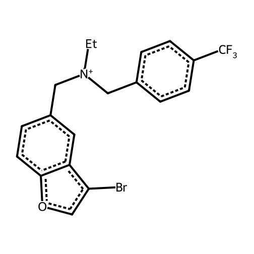 CC[N+](Cc1ccc(C(F)(F)F)cc1)Cc1ccc2occ(Br)c2c1